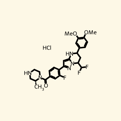 COc1ccc(C2CC(C(F)F)n3nc(-c4ccc(C(=O)N5CCNC[C@@H]5C)cc4F)cc3N2)cc1OC.Cl